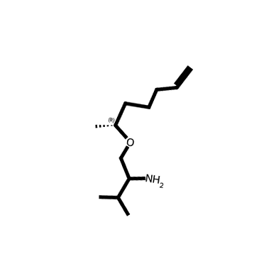 C=CCCC[C@@H](C)OCC(N)C(C)C